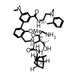 COc1c(CN2O[C@@H](CN)[C@@H]([C@H](C)O)[C@H]2C(=O)N[C@H]2C[C@H]3C[C@@H]([C@@H]2C)C3(C)C)cccc1-c1cc(C(=O)N[C@@H](Cc2ccccc2)CN(C)C)cc(N(C)C)c1